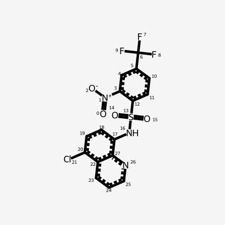 O=[N+]([O-])c1cc(C(F)(F)F)ccc1S(=O)(=O)Nc1ccc(Cl)c2cccnc12